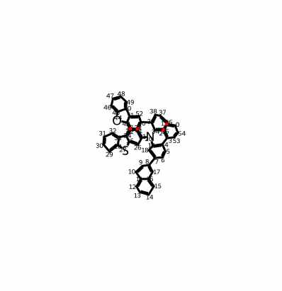 c1ccc(-c2ccc(-c3ccc4ccccc4c3)cc2N(c2ccc3c(c2)sc2ccccc23)c2ccccc2-c2ccc3oc4ccccc4c3c2)cc1